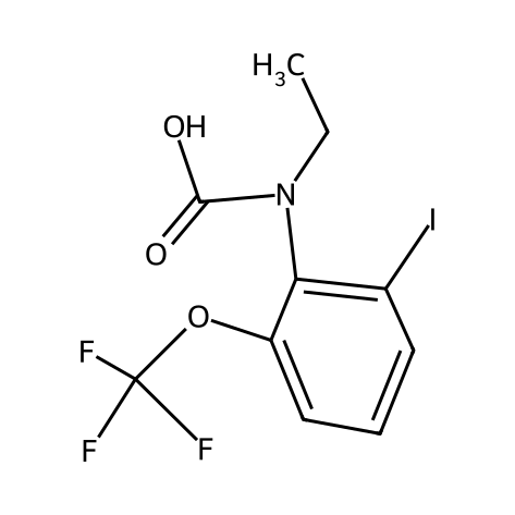 CCN(C(=O)O)c1c(I)cccc1OC(F)(F)F